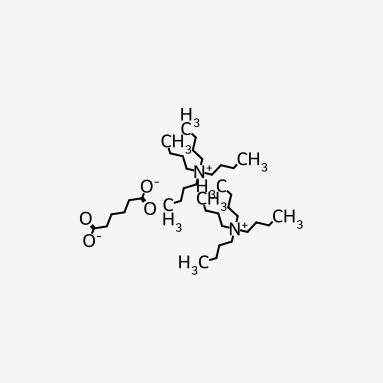 CCCC[N+](CCCC)(CCCC)CCCC.CCCC[N+](CCCC)(CCCC)CCCC.O=C([O-])CCCCC(=O)[O-]